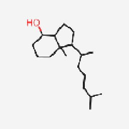 CC(C)CCCC(C)C1CCC2C(O)CCCC12C